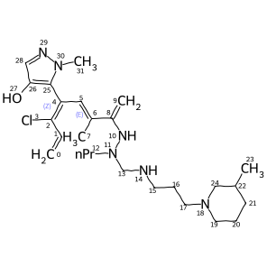 C=C/C(Cl)=C(\C=C(/C)C(=C)NN(CCC)CNCCCN1CCCC(C)C1)c1c(O)cnn1C